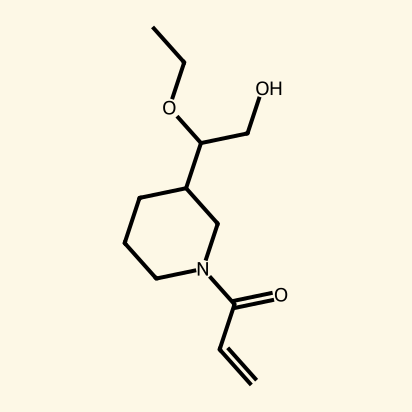 C=CC(=O)N1CCCC(C(CO)OCC)C1